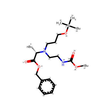 CCCC[C@@H](C(=O)OCc1ccccc1)N(CCCO[Si](C)(C)C(C)(C)C)CCNC(=O)OC(C)(C)C